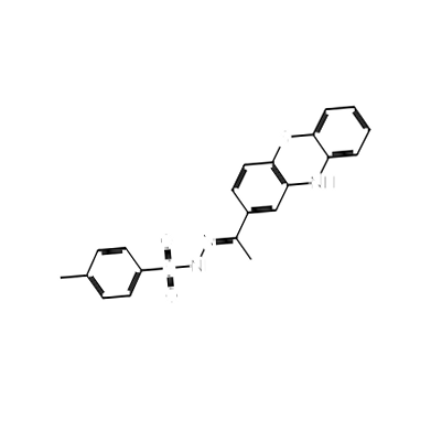 C/C(=N\NS(=O)(=O)c1ccc(C)cc1)c1ccc2c(c1)Nc1ccccc1S2